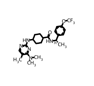 Cc1cnc(NC2CCC(C(=O)N[C@H](C)c3ccc(OC(F)(F)F)cc3)CC2)nc1N(C)C